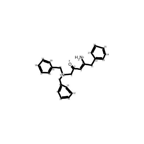 NC(=CC(=O)CN(Cc1ccccc1)Cc1ccccc1)Cc1ccccc1